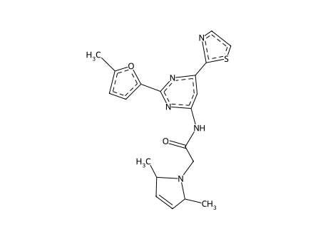 Cc1ccc(-c2nc(NC(=O)CN3C(C)C=CC3C)cc(-c3nccs3)n2)o1